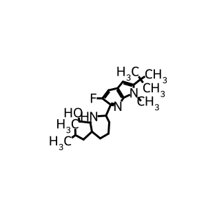 CC(C)CC1CCCC(c2nc3c(cc2F)cc(C(C)(C)C)n3C)NC1CO